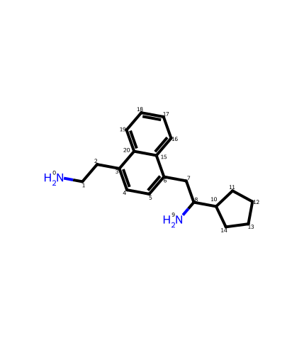 NCCc1ccc(CC(N)C2CCCC2)c2ccccc12